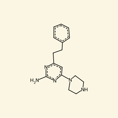 Nc1nc(CCc2ccccc2)cc(N2CCNCC2)n1